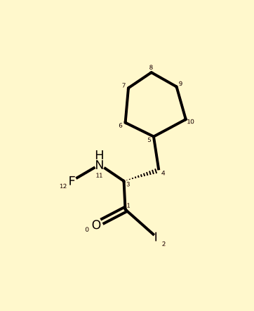 O=C(I)[C@@H](CC1CCCCC1)NF